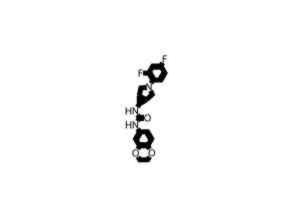 O=C(Nc1ccc2c(c1)OCCO2)NC1C2CN(c3ccc(F)cc3F)CC21